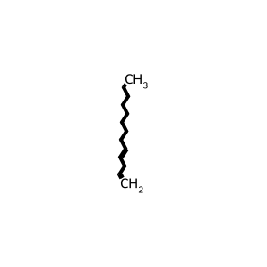 C=CCC=CCCCCCCCC